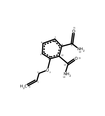 C=CCOc1cccc(C(N)=O)c1C(N)=O